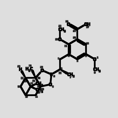 COc1cc(C[C@@H](C)B2OC3CC4C[C@@H](C4(C)C)[C@]3(C)O2)c(OC)c(C(=O)O)c1